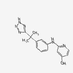 CC(C)(c1cccc(Nc2cc(O)ccn2)c1)c1nn[nH]n1